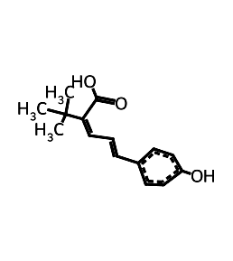 CC(C)(C)C(=CC=Cc1ccc(O)cc1)C(=O)O